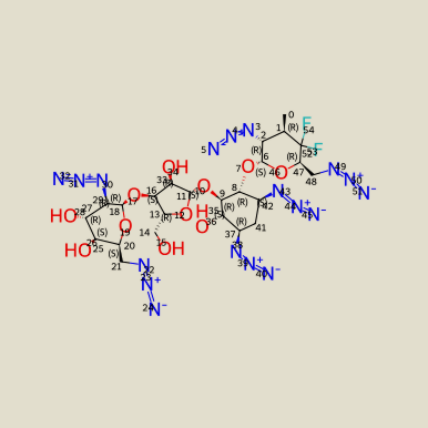 C[C@@H]1[C@@H](N=[N+]=[N-])[C@@H](O[C@H]2[C@H](O[C@@H]3O[C@H](CO)[C@@H](O[C@H]4O[C@@H](CN=[N+]=[N-])[C@@H](O)[C@H](O)[C@H]4N=[N+]=[N-])[C@H]3O)[C@@H](O)[C@H](N=[N+]=[N-])C[C@@H]2N=[N+]=[N-])O[C@H](CN=[N+]=[N-])C1(F)F